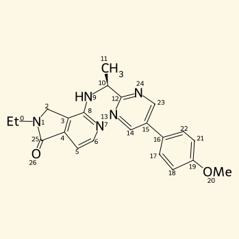 CCN1Cc2c(ccnc2N[C@@H](C)c2ncc(-c3ccc(OC)cc3)cn2)C1=O